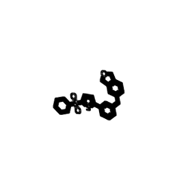 O=S(=O)(c1ccc(-c2cccc(Cc3ccc4c(c3)COC4)c2)s1)C1CCCCC1